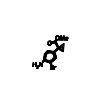 COC(=O)C1(c2ccc(N)c(Br)c2)CC1